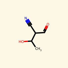 CC(O)C(C#N)C=O